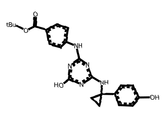 CC(C)(C)OC(=O)c1ccc(Nc2nc(O)nc(NC3(c4ccc(O)cc4)CC3)n2)cc1